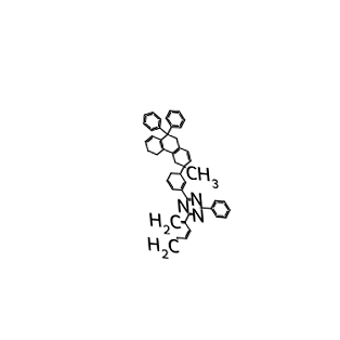 C=C/C=C\C(=C)c1nc(C2=CC(C3(C)C=CC4=C(C3)C3=C(C=CCC3)C(c3ccccc3)(c3ccccc3)C4)CC=C2)nc(-c2ccccc2)n1